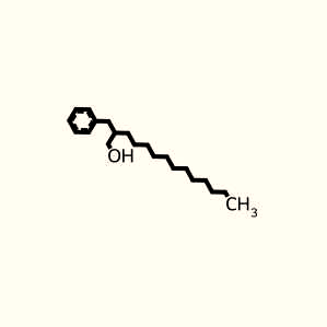 CCCCCCCCCCCCC(CO)Cc1ccccc1